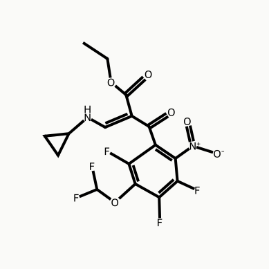 CCOC(=O)C(=CNC1CC1)C(=O)c1c(F)c(OC(F)F)c(F)c(F)c1[N+](=O)[O-]